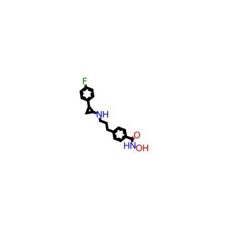 O=C(NO)c1ccc(CCCNC2CC2c2ccc(F)cc2)cc1